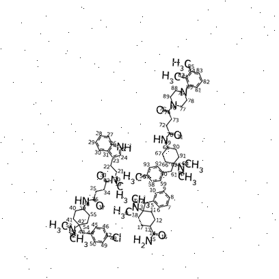 CN(C)C1(Cc2ccccc2)CCC(C(N)=O)CC1.CN(CCc1c[nH]c2ccccc12)C(=O)CCC(=O)NC1CCC(Cc2ccc(Cl)cc2)(N(C)C)CC1.Cc1ccc(CC2(N(C)C)CCC(NC(=O)CCC(=O)N3CCN(c4cccc(C)c4C)CC3)CC2)cc1